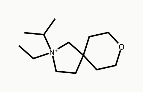 CC[N+]1(C(C)C)CCC2(CCOCC2)C1